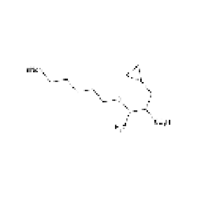 CCCCCCCCCCCCCCOC(C)C(CC1CC1)C(=O)O